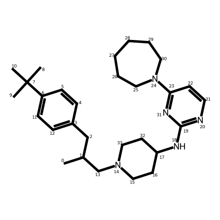 CC(Cc1ccc(C(C)(C)C)cc1)CN1CCC(Nc2nccc(N3CCCCCC3)n2)CC1